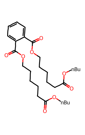 CCCCOC(=O)CCCCCOC(=O)c1ccccc1C(=O)OCCCCCC(=O)OCCCC